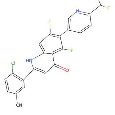 N#Cc1ccc(Cl)c(-c2cc(=O)c3c(F)c(-c4ccc(C(F)F)nc4)c(F)cc3[nH]2)c1